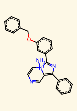 N[N+]12C=CN=CC1=C(c1ccccc1)N=C2c1cccc(OCc2ccccc2)c1